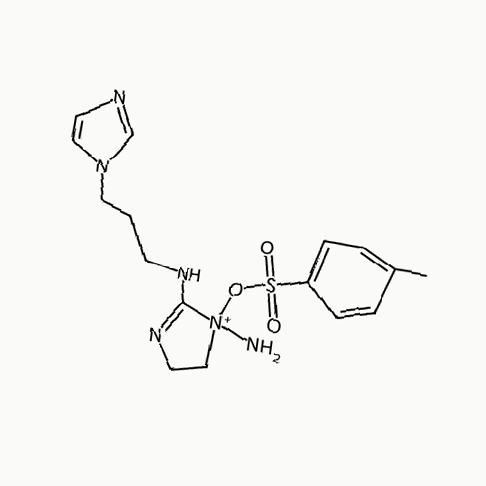 Cc1ccc(S(=O)(=O)O[N+]2(N)CCN=C2NCCCn2ccnc2)cc1